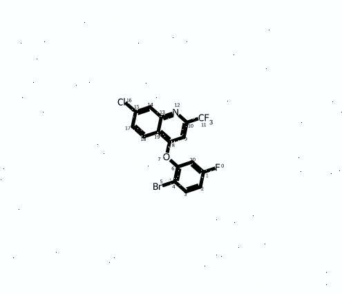 Fc1ccc(Br)c(Oc2cc(C(F)(F)F)nc3cc(Cl)ccc23)c1